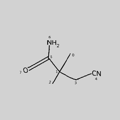 CC(C)([CH]C#N)C(N)=O